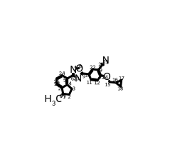 C[C@@H]1CCc2c(-c3noc(-c4ccc(OCC5CC5)c(C#N)c4)n3)cccc21